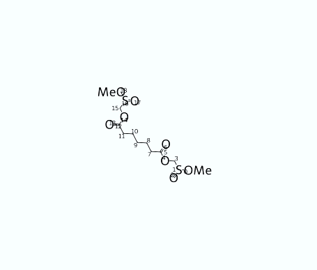 COS(=O)COC(=O)CCCCCC(=O)OCS(=O)OC